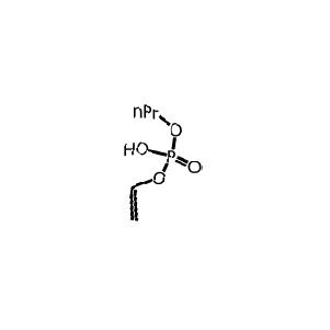 C=COP(=O)(O)OCCC